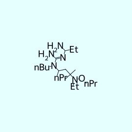 CCCCN(/C(N)=N/C(N)CC)C(CCC)CC(C)(C)N(CC)OCCC